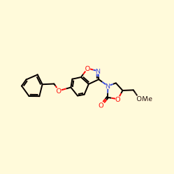 COCC1CN(c2noc3cc(OCc4ccccc4)ccc23)C(=O)O1